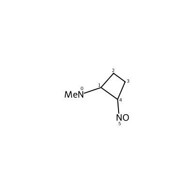 CNC1CCC1N=O